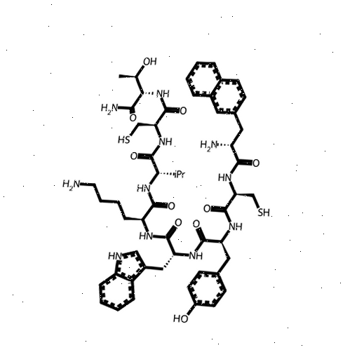 CC(C)[C@H](NC(=O)[C@H](CCCCN)NC(=O)[C@@H](Cc1c[nH]c2ccccc12)NC(=O)[C@H](Cc1ccc(O)cc1)NC(=O)[C@H](CS)NC(=O)[C@H](N)Cc1ccc2ccccc2c1)C(=O)N[C@@H](CS)C(=O)N[C@H](C(N)=O)[C@@H](C)O